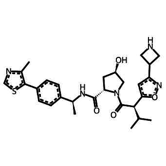 Cc1ncsc1-c1ccc([C@H](C)NC(=O)[C@@H]2C[C@@H](O)CN2C(=O)[C@@H](c2cc(C3CNC3)no2)C(C)C)cc1